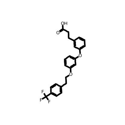 O=C(O)CCc1cccc(Oc2cccc(OCCc3ccc(C(F)(F)F)cc3)c2)c1